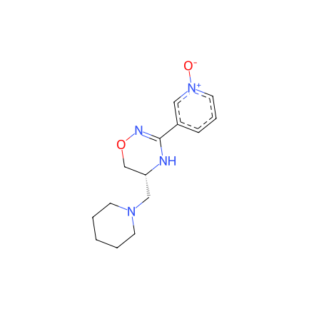 [O-][n+]1cccc(C2=NOC[C@@H](CN3CCCCC3)N2)c1